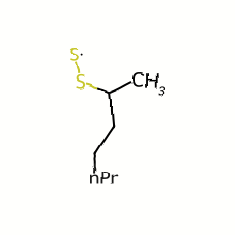 CCCCCC(C)S[S]